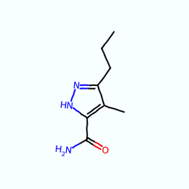 CCCc1n[nH]c(C(N)=O)c1C